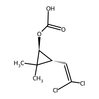 CC1(C)[C@@H](C=C(Cl)Cl)[C@@H]1OC(=O)O